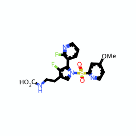 COc1ccnc(S(=O)(=O)n2cc(CCNC(=O)O)c(F)c2-c2cccnc2F)c1